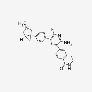 CN1C[C@@H]2C[C@]2(c2ccc(-c3cc(-c4ccc5c(c4)CCNC5=O)c(N)nc3F)cc2)C1